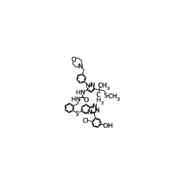 CSCC(C)(C)c1cc(NC(=O)NCc2ccccc2Sc2ccc3nnc(-c4cc(O)ccc4Cl)n3c2)n(-c2cccc(CN3CCOCC3)c2)n1